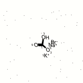 O=C([O-])O.[Br-].[K+].[Na+]